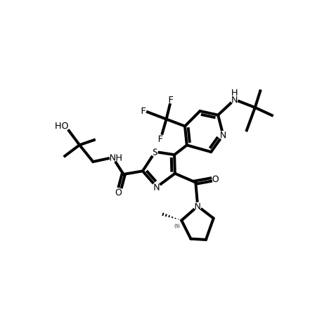 C[C@H]1CCCN1C(=O)c1nc(C(=O)NCC(C)(C)O)sc1-c1cnc(NC(C)(C)C)cc1C(F)(F)F